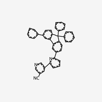 N#Cc1cncc(-c2cccc(-c3ccc4c(c3)-c3cc(-c5ccccc5)ccc3C4(c3ccccc3)c3ccccc3)n2)c1